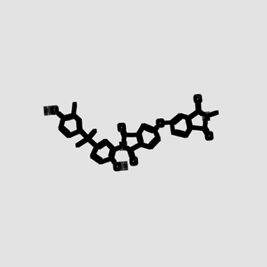 Cc1cc(C(C)(C)c2ccc(O)c(N3C(=O)c4ccc(Oc5ccc6c(c5)C(=O)N(C)C6=O)cc4C3=O)c2)ccc1O